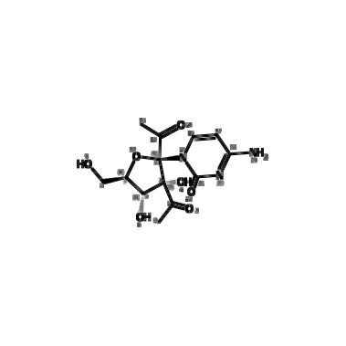 CC(=O)[C@@]1(O)[C@H](O)[C@@H](CO)O[C@@]1(C(C)=O)n1ccc(N)nc1=O